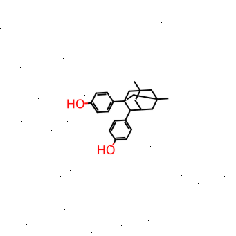 CC12CC3CC(C)(C1)CC(c1ccc(O)cc1)(C2)C3c1ccc(O)cc1